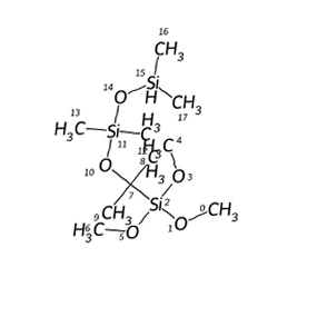 CO[Si](OC)(OC)C(C)(C)O[Si](C)(C)O[SiH](C)C